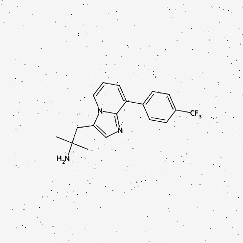 CC(C)(N)Cc1cnc2c(-c3ccc(C(F)(F)F)cc3)cccn12